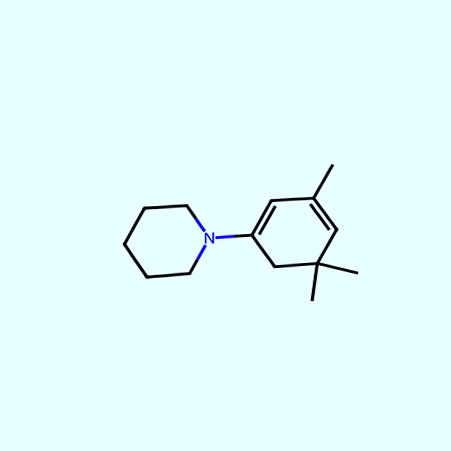 CC1=CC(C)(C)CC(N2CCCCC2)=C1